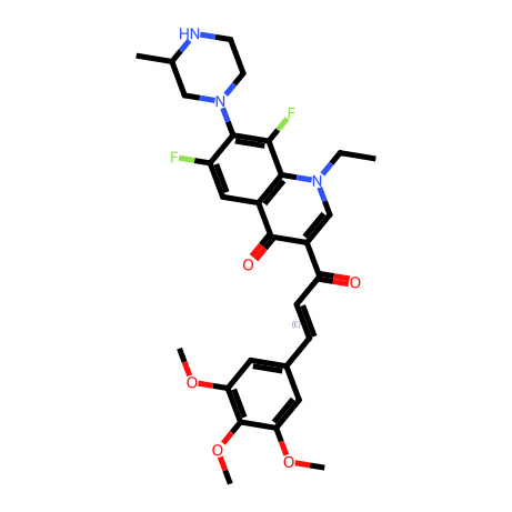 CCn1cc(C(=O)/C=C/c2cc(OC)c(OC)c(OC)c2)c(=O)c2cc(F)c(N3CCNC(C)C3)c(F)c21